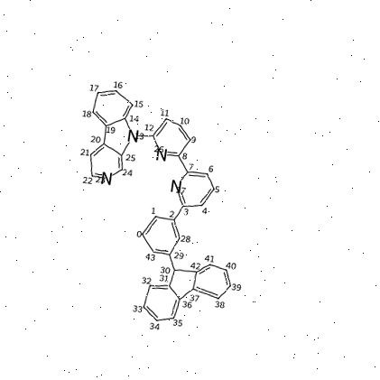 c1cc(-c2cccc(-c3cccc(-n4c5ccccc5c5ccncc54)n3)n2)cc(C2c3ccccc3-c3ccccc32)c1